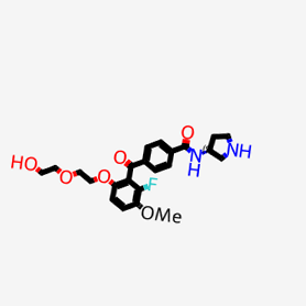 COc1ccc(OCCOCCO)c(C(=O)c2ccc(C(=O)N[C@H]3CCNC3)cc2)c1F